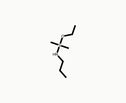 CCCN[Si](C)(C)OCC